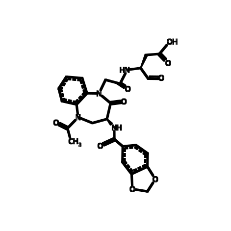 CC(=O)N1C[C@H](NC(=O)c2ccc3c(c2)OCO3)C(=O)N(CC(=O)N[C@H](C=O)CC(=O)O)c2ccccc21